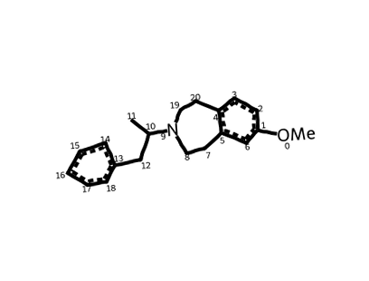 COc1ccc2c(c1)CCN(C(C)Cc1ccccc1)CC2